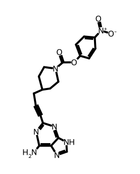 Nc1nc(C#CCC2CCN(C(=O)Oc3ccc([N+](=O)[O-])cc3)CC2)nc2[nH]cnc12